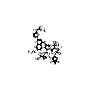 CC[C@@H]1C[C@]1(NC(=O)[C@@H]1CC(Oc2cc(-n3ccc(NC(C)C)n3)nc3cc(OC)ccc23)CN1C(=O)[C@@H](NC(=O)O[C@@H]1C[C@@H]2C[C@@H]2C1)C(C)(C)C)C(=O)O